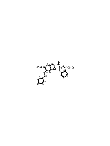 COc1cc2cc(C(=O)NCC(C=O)c3ccccc3)[nH]c2cc1OCc1ccccc1